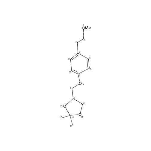 COCCc1ccc(OCC2COC(C)(C)O2)cc1